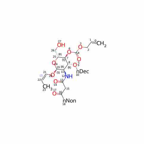 C=CCOC(=O)O[C@H]1[C@H](OCCCCCCCCCC)[C@@H](NC(=O)CC(=O)CCCCCCCCC)[C@@H](O/C=C\C)O[C@@H]1CO